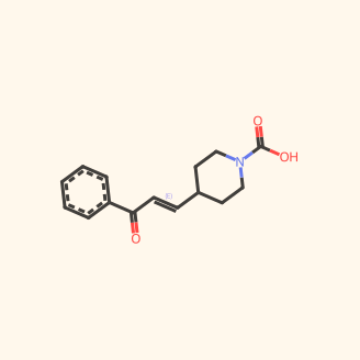 O=C(/C=C/C1CCN(C(=O)O)CC1)c1ccccc1